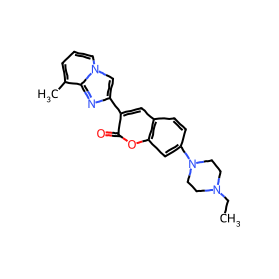 CCN1CCN(c2ccc3cc(-c4cn5cccc(C)c5n4)c(=O)oc3c2)CC1